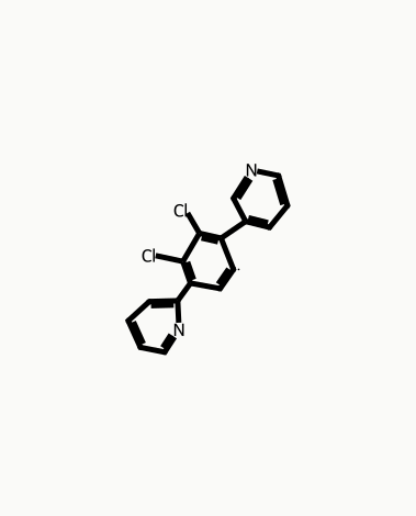 Clc1c(-c2cccnc2)[c]cc(-c2ccccn2)c1Cl